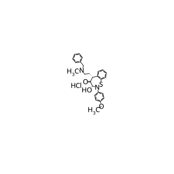 COc1ccc(N2Sc3ccccc3[C@@H](CCN(C)Cc3ccccc3)C(=O)[C@H]2O)cc1.Cl